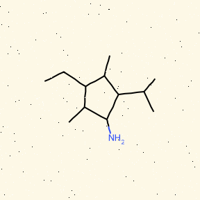 CCC1C(C)C(N)C(C(C)C)C1C